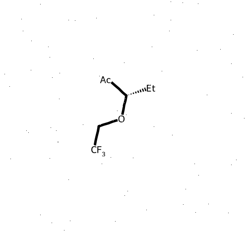 CC[C@H](OCC(F)(F)F)C(C)=O